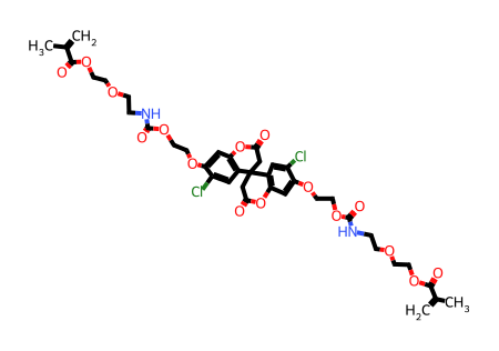 C=C(C)C(=O)OCCOCCNC(=O)OCCOc1cc2c(cc1Cl)C1(CC(=O)O2)CC(=O)Oc2cc(OCCOC(=O)NCCOCCOC(=O)C(=C)C)c(Cl)cc21